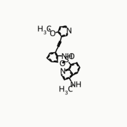 CNc1ccnc2c(S(=O)(=O)Nc3ccccc3C#Cc3cnccc3OC)cccc12